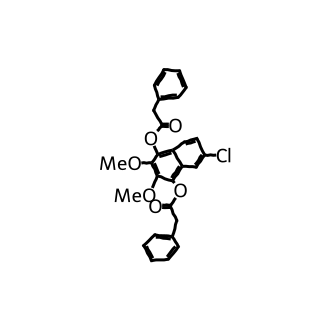 COc1c(OC)c(OC(=O)Cc2ccccc2)c2cc(Cl)ccc2c1OC(=O)Cc1ccccc1